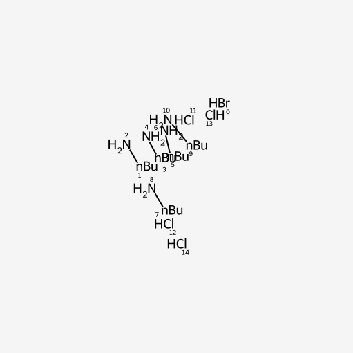 Br.CCCCN.CCCCN.CCCCN.CCCCN.CCCCN.Cl.Cl.Cl.Cl